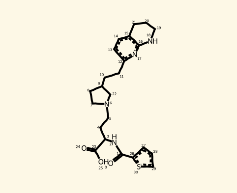 O=C(NC(CCN1CCC(CCc2ccc3c(n2)NCCC3)C1)C(=O)O)c1cccs1